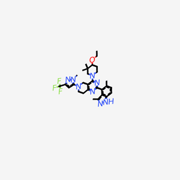 CCOC1CCN(c2nc(-c3c(C)ccc4[nH]nc(C)c34)nc3c2CN(c2cc(C(F)(F)F)nn2C)CC3)CC1(C)C